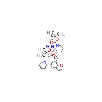 CC(C)(C)OC(=O)N1CCCC(C(=O)Cc2cc(-c3ccccn3)cc3ccoc23)C1(N)C(=O)OC(C)(C)C